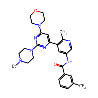 CCN1CCN(c2nc(-c3cc(NC(=O)c4cccc(C(F)(F)F)c4)cnc3C)cc(N3CCOCC3)n2)CC1